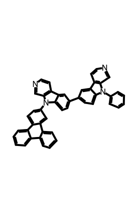 c1ccc(-n2c3ccc(-c4ccc5c(c4)c4ccncc4n5-c4ccc5c6ccccc6c6ccccc6c5c4)cc3c3ccncc32)cc1